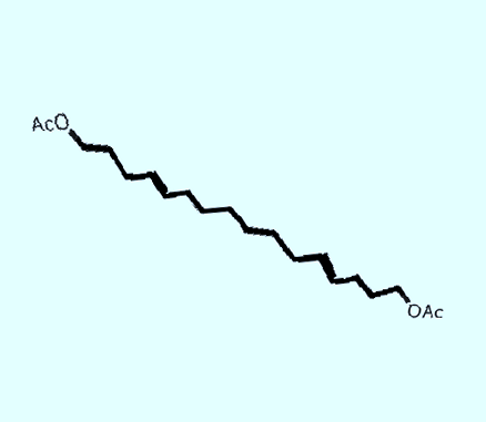 CC(=O)OCCC/C=C/CCCCCC/C=C/CCCOC(C)=O